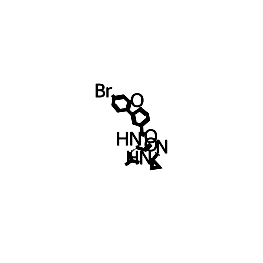 CC(C)C[C@H](NC(=O)c1ccc2oc3cc(Br)ccc3c2c1)C(=O)NC1(C#N)CC1